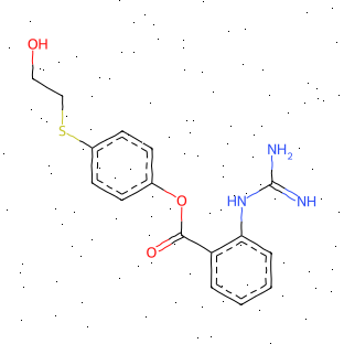 N=C(N)Nc1ccccc1C(=O)Oc1ccc(SCCO)cc1